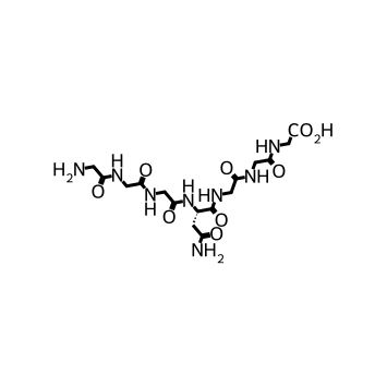 NCC(=O)NCC(=O)NCC(=O)N[C@@H](CC(N)=O)C(=O)NCC(=O)NCC(=O)NCC(=O)O